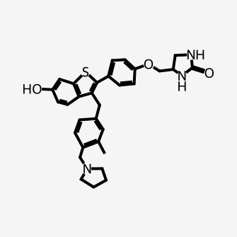 Cc1cc(Cc2c(-c3ccc(OCC4CNC(=O)N4)cc3)sc3cc(O)ccc23)ccc1CN1CCCC1